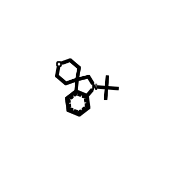 CC(C)(C)N1CC2(CCOCC2)c2ccccc21